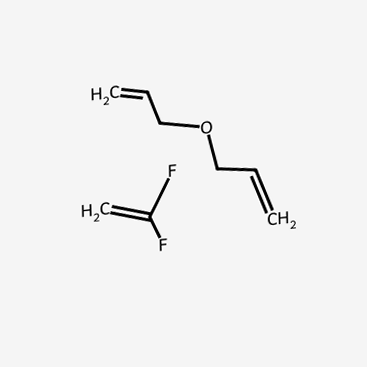 C=C(F)F.C=CCOCC=C